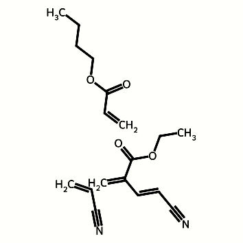 C=C(C=CC#N)C(=O)OCC.C=CC#N.C=CC(=O)OCCCC